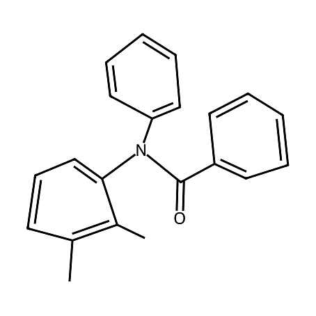 Cc1cccc(N(C(=O)c2ccccc2)c2ccccc2)c1C